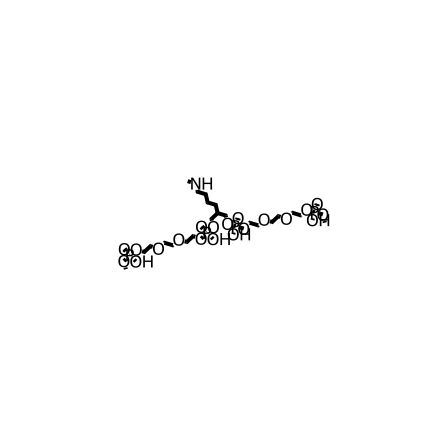 CNCCCCC(COP(=O)(O)OCCOCCOCCOP(=O)(O)OC)COP(=O)(O)OCCOCCOCCOP(=O)(O)OC